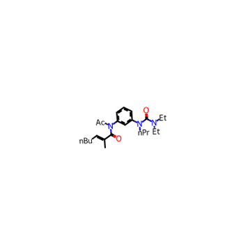 CCCCC=C(C)C(=O)N(C(C)=O)c1cccc(N(CCC)C(=O)N(CC)CC)c1